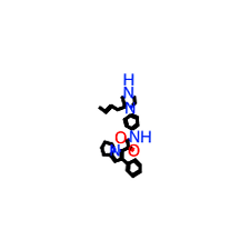 CC=CCC1CNCCN1c1ccc(NC(=O)C(=O)c2c(-c3ccccc3)cc3n2CCCC3)cc1